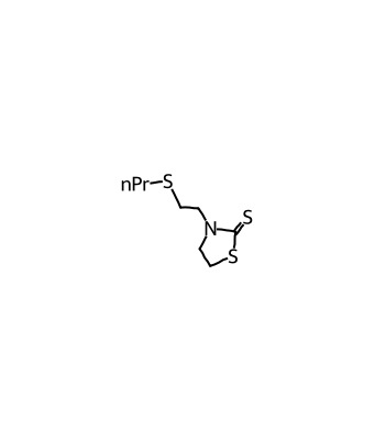 CCCSCCN1CCSC1=S